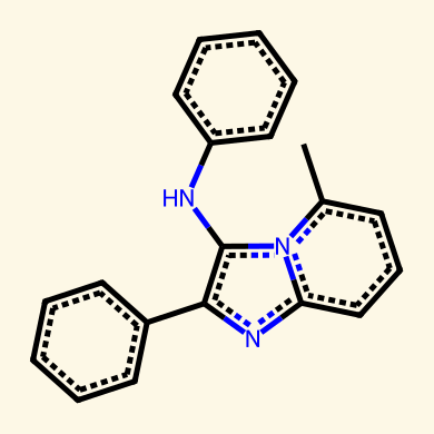 Cc1cccc2nc(-c3ccccc3)c(Nc3ccccc3)n12